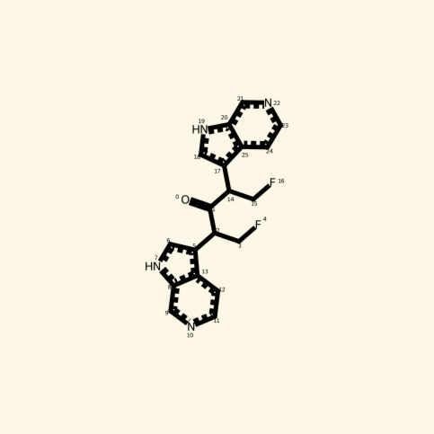 O=C(C(CF)c1c[nH]c2cnccc12)C(CF)c1c[nH]c2cnccc12